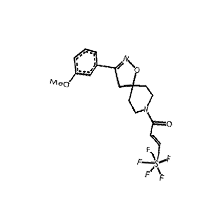 COc1cccc(C2=NOC3(CCN(C(=O)C=CS(F)(F)(F)(F)F)CC3)C2)c1